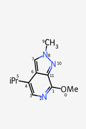 COc1ncc(C(C)C)c2cn(C)nc12